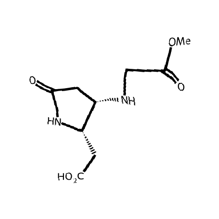 COC(=O)CN[C@H]1CC(=O)N[C@H]1CC(=O)O